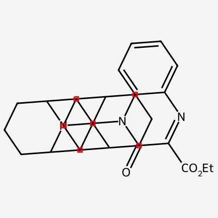 CCOC(=O)c1nc2ccccc2n(C2CC3CCCC(C2)N3C2C3CCCC2CCC3)c1=O